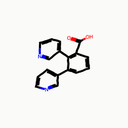 O=C(O)c1cccc(-c2cccnc2)c1-c1cccnc1